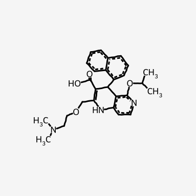 CC(C)Oc1nccc2c1C(c1cccc3ccccc13)C(C(=O)O)=C(COCCN(C)C)N2